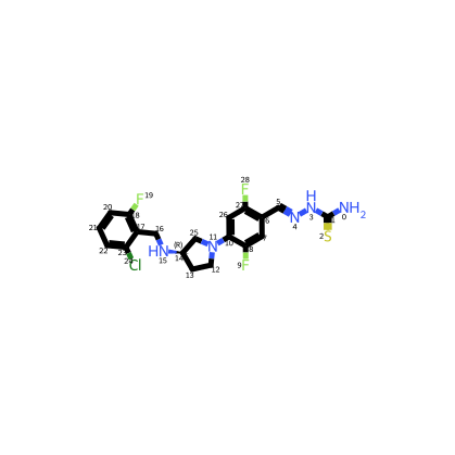 NC(=S)NN=Cc1cc(F)c(N2CC[C@@H](NCc3c(F)cccc3Cl)C2)cc1F